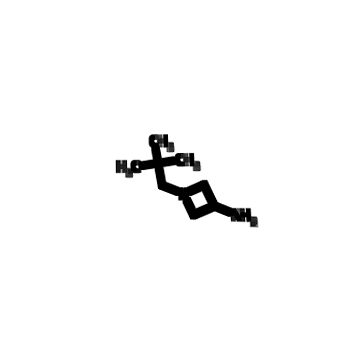 CC(C)(C)CN1CC(N)C1